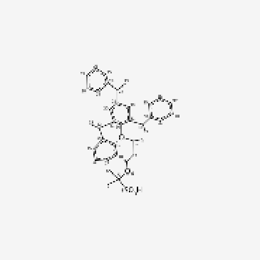 CC(CCOC(C)(C)S(=O)(=O)O)Oc1c(C(C)c2ccccc2)cc(C(C)c2ccccc2)cc1C(C)c1ccccc1